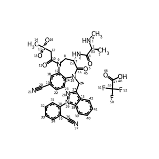 CN[C@@H](C)C(=O)N[C@H]1CN(C(=O)CS(C)(=O)=O)c2cc(C#N)ccc2N(Cc2nn(-c3ccccc3C#N)c3ccccc23)C1=O.O=C(O)C(F)(F)F